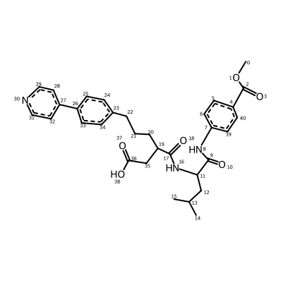 COC(=O)c1ccc(NC(=O)C(CC(C)C)NC(=O)C(CCCc2ccc(-c3ccncc3)cc2)CC(=O)O)cc1